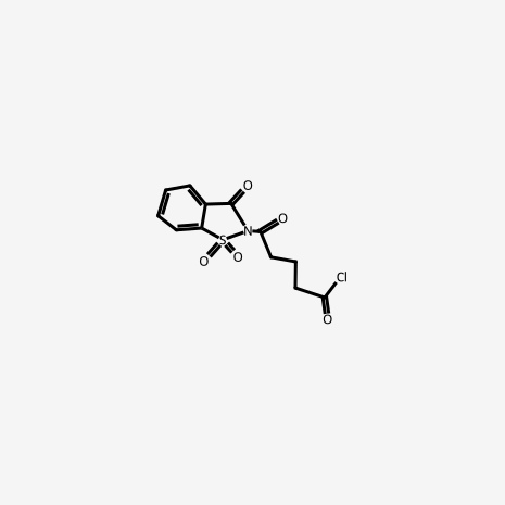 O=C(Cl)CCCC(=O)N1C(=O)c2ccccc2S1(=O)=O